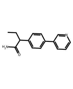 CCC(C(N)=O)c1ccc(-c2cccnc2)cc1